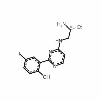 CC[C@@H](N)CNc1ccnc(-c2cc(I)ccc2O)n1